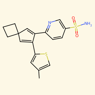 Cc1csc(C2=CC3(C=C2c2ccc(S(N)(=O)=O)cn2)CCC3)c1